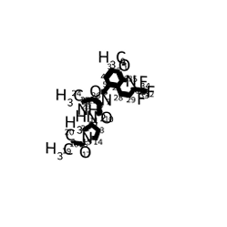 COc1ccc(-c2nc(C(=O)N[C@H]3CCN(C(=O)C(C)C)C3)c([C@H](C)N)o2)c2ccc(C(F)(F)F)nc12